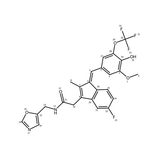 COc1cc(/C=C2/C(C)=C(CC(=O)NCc3cnco3)c3cc(F)ccc32)cc(OC(F)(F)F)c1O